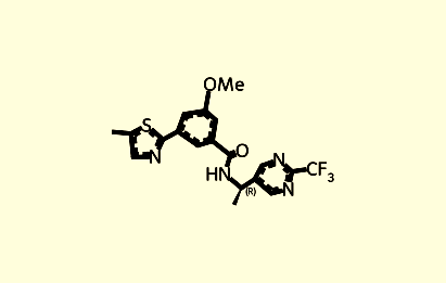 COc1cc(C(=O)N[C@H](C)c2cnc(C(F)(F)F)nc2)cc(-c2ncc(C)s2)c1